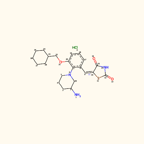 Cl.NC1CCCN(c2c(/C=C3/SC(=O)NC3=O)cccc2OCC2CCCCC2)C1